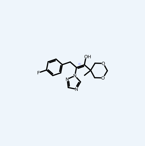 CC1(/C(O)=C(/Cc2ccc(F)cc2)n2cncn2)COCOC1